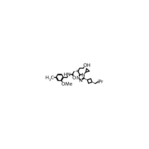 COc1cc(C)ccc1CNC(=O)C[C@H](CCO)c1nnc([C@H]2C[C@@H](CC(C)C)C2)n1C1CC1